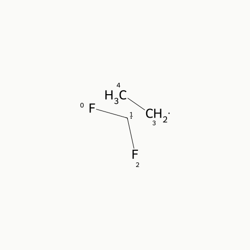 F[CH]F.[CH2]C